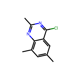 Cc1cc(C)c2nc(C)nc(Cl)c2c1